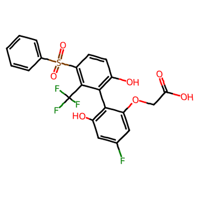 O=C(O)COc1cc(F)cc(O)c1-c1c(O)ccc(S(=O)(=O)c2ccccc2)c1C(F)(F)F